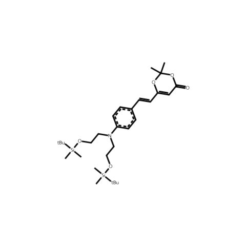 CC1(C)OC(=O)C=C(/C=C/c2ccc(N(CCO[Si](C)(C)C(C)(C)C)CCO[Si](C)(C)C(C)(C)C)cc2)O1